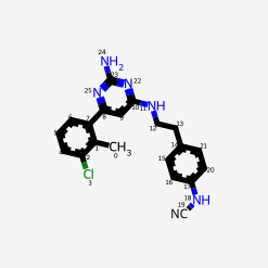 Cc1c(Cl)cccc1-c1cc(NCCc2ccc(NC#N)cc2)nc(N)n1